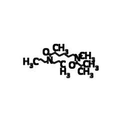 CCCN(CCC)C(=O)C(C)CCCCN(C)C(=O)C(C)C